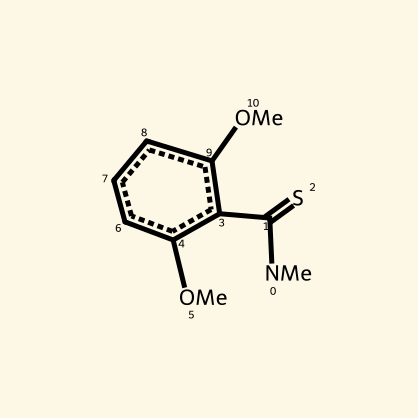 CNC(=S)c1c(OC)cccc1OC